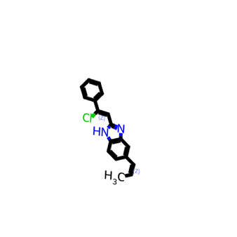 C/C=C\c1ccc2[nH]c(/C=C(\Cl)c3ccccc3)nc2c1